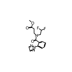 COC(=O)CCN(CC(F)F)C(=O)c1ccccc1-n1nccn1